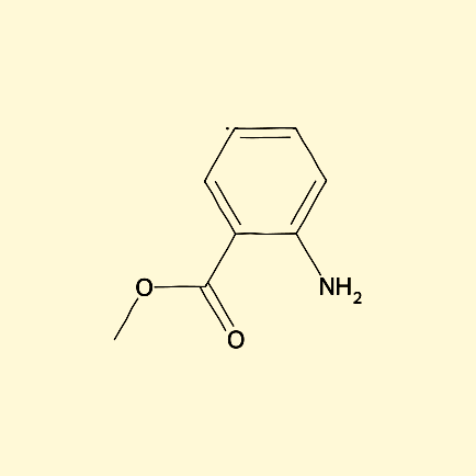 COC(=O)c1c[c]ccc1N